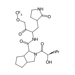 CCC[C@@H](O)C(=O)N1CC2CCCC2C1C(=O)NC(CC1CCNC1=O)C(=O)COC(F)(F)F